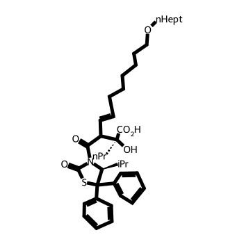 CCCCCCCOCCCCCCC=CC(C(=O)N1C(=O)SC(c2ccccc2)(c2ccccc2)[C@@H]1C(C)C)[C@@](O)(CCC)C(=O)O